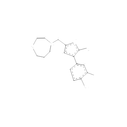 Nc1ccc(-c2cc(CN3CCCNCC3)sc2Br)cc1F